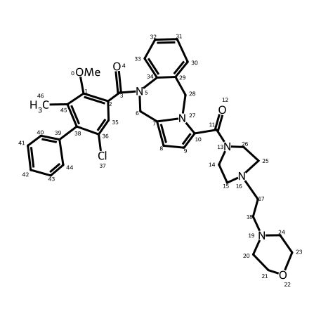 COc1c(C(=O)N2Cc3ccc(C(=O)N4CCN(CCN5CCOCC5)CC4)n3Cc3ccccc32)cc(Cl)c(-c2ccccc2)c1C